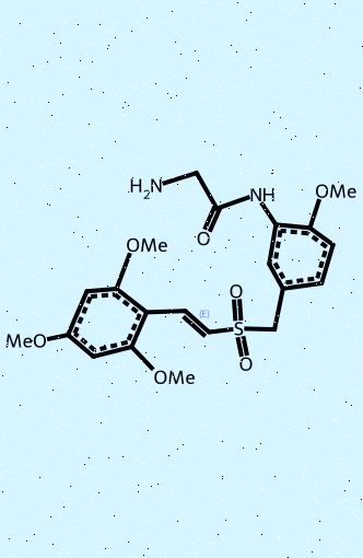 COc1cc(OC)c(/C=C/S(=O)(=O)Cc2ccc(OC)c(NC(=O)CN)c2)c(OC)c1